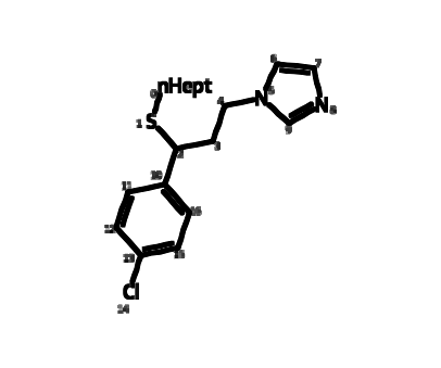 CCCCCCCSC(CCn1ccnc1)c1ccc(Cl)cc1